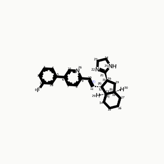 Fc1cccc(-c2ccc(/C=C/[C@H]3[C@@H]4CCCC[C@@H]4C[C@@H]3C3=NCCN3)nc2)c1